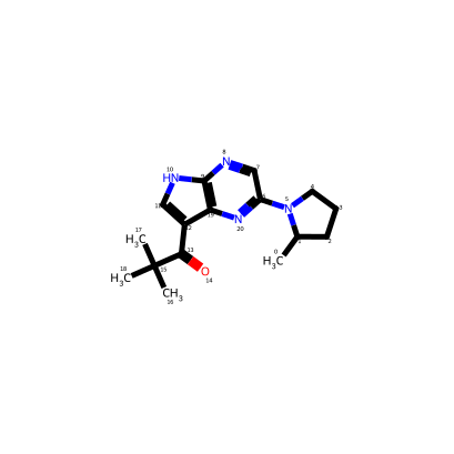 CC1CCCN1c1cnc2[nH]cc(C(=O)C(C)(C)C)c2n1